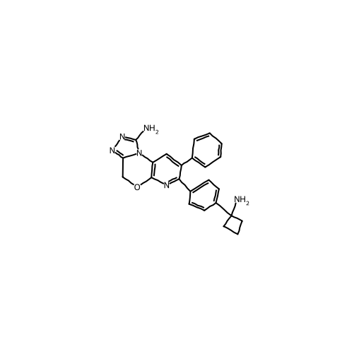 Nc1nnc2n1-c1cc(-c3ccccc3)c(-c3ccc(C4(N)CCC4)cc3)nc1OC2